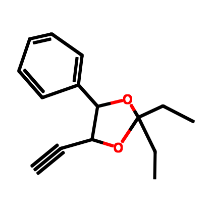 C#CC1OC(CC)(CC)OC1c1ccccc1